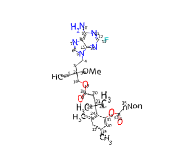 C#CC(CCn1cnc2c(N)nc(F)nc21)(COC(=O)CC(C)(C)c1c(C)cc(C)cc1OC(=O)CCCCCCCCC)OC